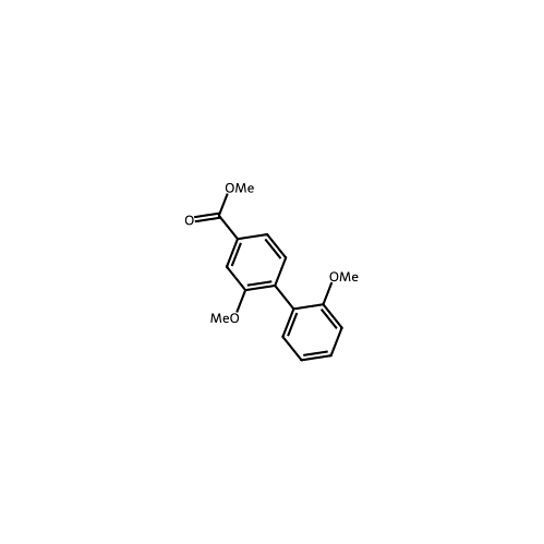 COC(=O)c1ccc(-c2ccccc2OC)c(OC)c1